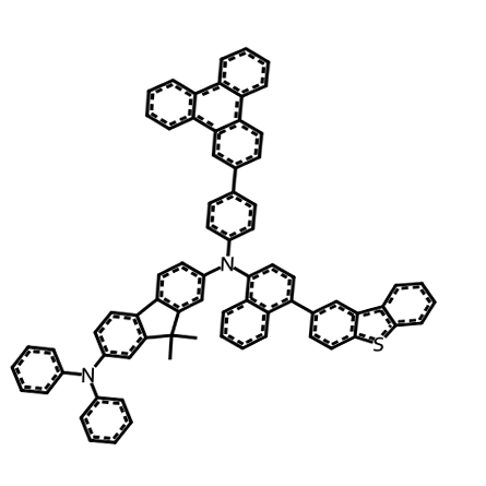 CC1(C)c2cc(N(c3ccccc3)c3ccccc3)ccc2-c2ccc(N(c3ccc(-c4ccc5c6ccccc6c6ccccc6c5c4)cc3)c3ccc(-c4ccc5sc6ccccc6c5c4)c4ccccc34)cc21